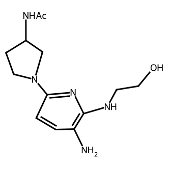 CC(=O)NC1CCN(c2ccc(N)c(NCCO)n2)C1